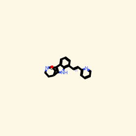 C(=C\c1cccc2c3c([nH]c12)C1CCN(CC1)C3)/c1ccccn1